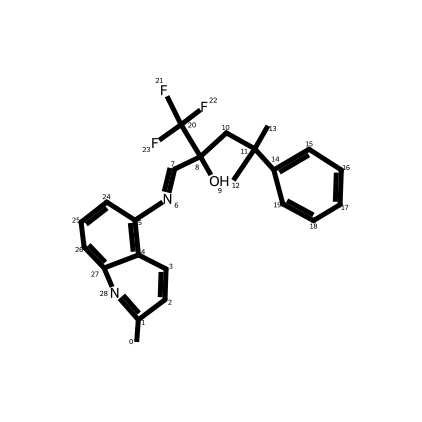 Cc1ccc2c(N=CC(O)(CC(C)(C)c3ccccc3)C(F)(F)F)cccc2n1